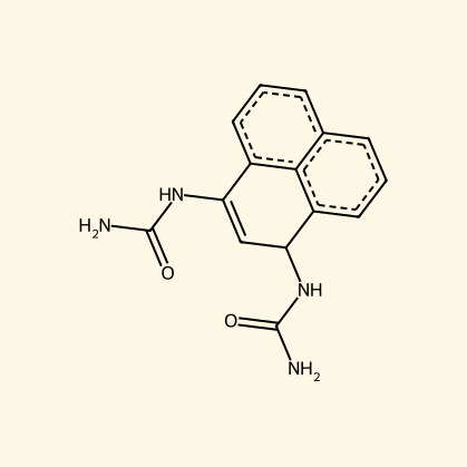 NC(=O)NC1=CC(NC(N)=O)c2cccc3cccc1c23